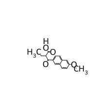 CCC(C(=O)O)C(=O)c1ccc2cc(OC)ccc2c1